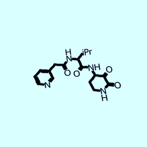 CC(C)C(NC(=O)Cc1cccnc1)C(=O)NC1CCNC(=O)C1=O